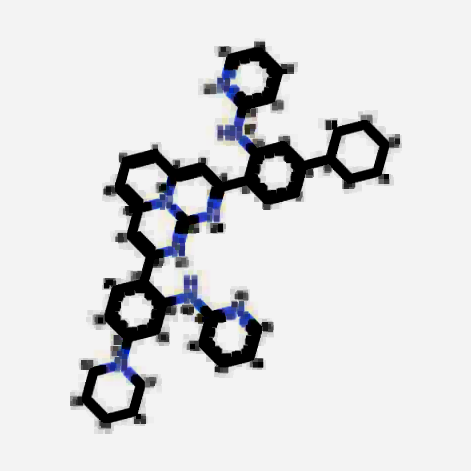 C1=CC2=CC(c3ccc(C4CCCCC4)cc3Nc3ccccn3)=NC3=NC(c4ccc(N5CCCCC5)cc4Nc4ccccn4)=CC(=C1)N23